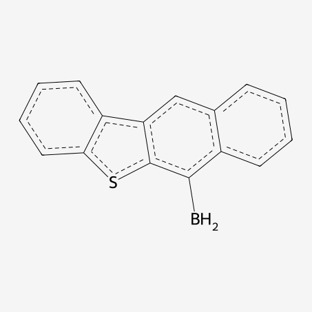 Bc1c2ccccc2cc2c1sc1ccccc12